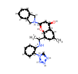 Cc1cc(C(C)Nc2ccccc2-n2cnnn2)c2oc(N3Cc4ccccc4C3)cc(=O)c2c1